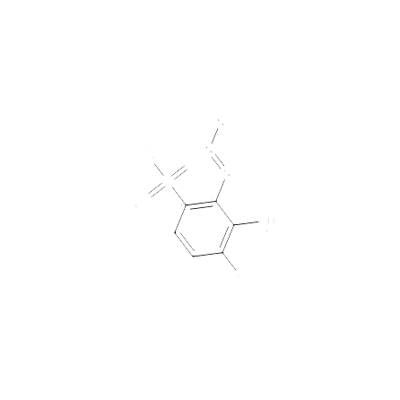 Cc1ccc(S(=O)(=O)O)c(N=NN)c1C.Cl